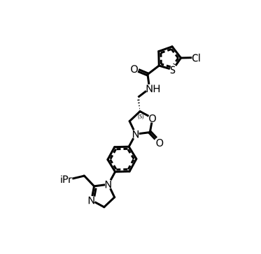 CC(C)CC1=NCCN1c1ccc(N2C[C@H](CNC(=O)c3ccc(Cl)s3)OC2=O)cc1